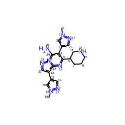 Cn1cc(-c2c(C3CCCNC3)nc3c(-c4cnn(C)c4)cnn3c2N)cn1